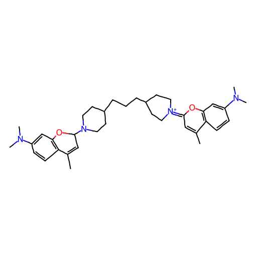 CC1=CC(N2CCC(CCCC3CC[N+](=c4cc(C)c5ccc(N(C)C)cc5o4)CC3)CC2)Oc2cc(N(C)C)ccc21